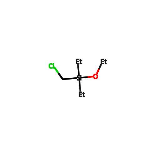 CCO[Si](CC)(CC)CCl